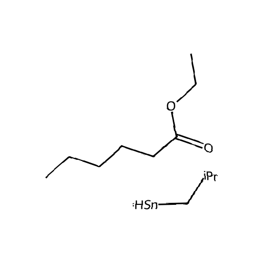 CC(C)[CH2][SnH].CCCCCC(=O)OCC